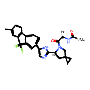 COC(=O)N[C@H](C(=O)N1CC2(CC2)C[C@H]1c1ncc(-c2ccc3c(c2)C(F)(F)c2cc(C)ccc2-3)[nH]1)C(C)C